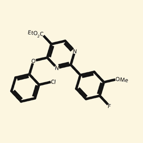 CCOC(=O)c1cnc(-c2ccc(F)c(OC)c2)nc1Oc1ccccc1Cl